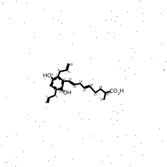 C=CCc1cc(O)c(CC=C)c(C=CCC=CCCC(C)C(=O)O)c1O